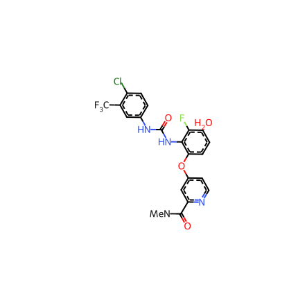 CNC(=O)c1cc(Oc2cccc(F)c2NC(=O)Nc2ccc(Cl)c(C(F)(F)F)c2)ccn1.O